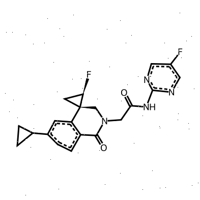 O=C(CN1C[C@]2(C[C@H]2F)c2cc(C3CC3)ccc2C1=O)Nc1ncc(F)cn1